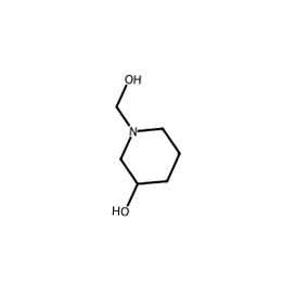 OCN1CCCC(O)C1